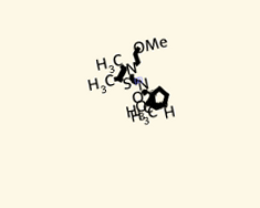 COCCn1c(C)c(C)s/c1=N\C(=O)[C@]12CC[C@H](CC1=O)C2(C)C